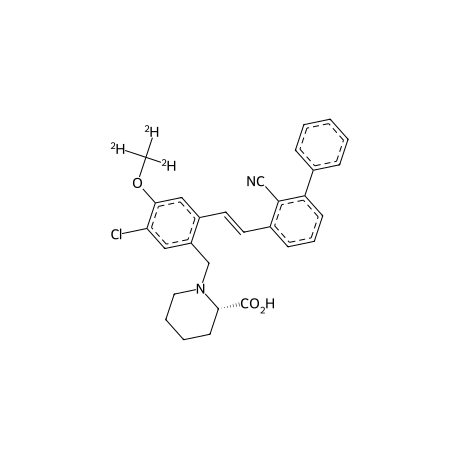 [2H]C([2H])([2H])Oc1cc(/C=C/c2cccc(-c3ccccc3)c2C#N)c(CN2CCCC[C@H]2C(=O)O)cc1Cl